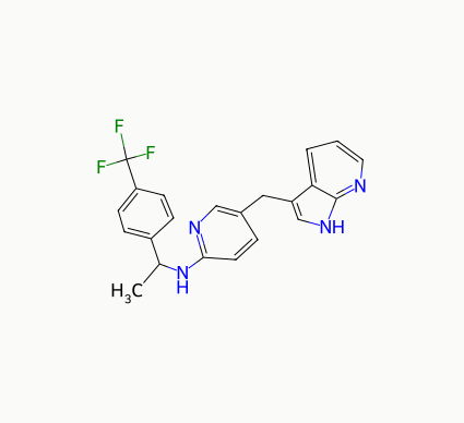 CC(Nc1ccc(Cc2c[nH]c3ncccc23)cn1)c1ccc(C(F)(F)F)cc1